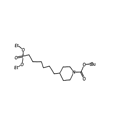 CCOP(=O)(CCCCCCC1CCN(C(=O)OC(C)(C)C)CC1)OCC